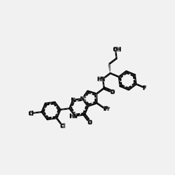 CC(C)c1c(C(=O)N[C@H](CCO)c2ccc(F)cc2)cn2nc(-c3ccc(Cl)cc3Cl)[nH]c(=O)c12